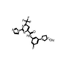 O=C(Nc1cc(F)cc(N2CC[C@H](O)C2)c1)c1cc(C(F)(F)F)nc(-n2ccnc2)n1